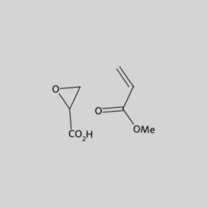 C=CC(=O)OC.O=C(O)C1CO1